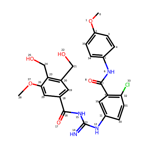 COc1ccc(NC(=O)c2cc(NC(=N)NC(=O)c3cc(CO)c(CO)c(OC)c3)ccc2Cl)cc1